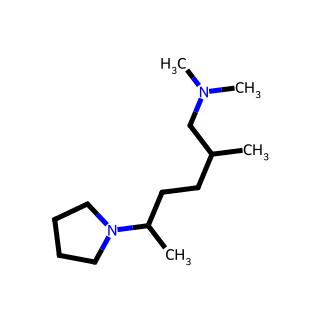 CC(CCC(C)N1CCCC1)CN(C)C